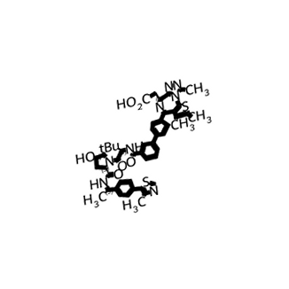 Cc1ncsc1-c1ccc([C@H](C)NC(=O)[C@@H]2C[C@@H](O)CN2C(=O)[C@@H](NC(=O)c2cccc(-c3ccc(C4=N[C@@H](CC(=O)O)c5nnc(C)n5-c5sc(C)c(C)c54)cc3)c2)C(C)(C)C)cc1